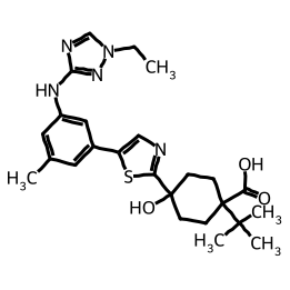 CCn1cnc(Nc2cc(C)cc(-c3cnc(C4(O)CCC(C(=O)O)(C(C)(C)C)CC4)s3)c2)n1